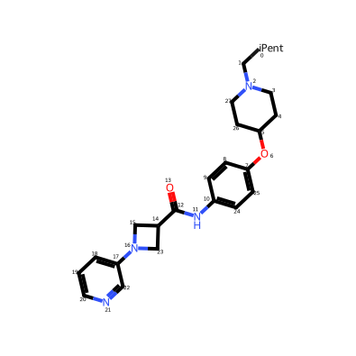 CCCC(C)CN1CCC(Oc2ccc(NC(=O)C3CN(c4cccnc4)C3)cc2)CC1